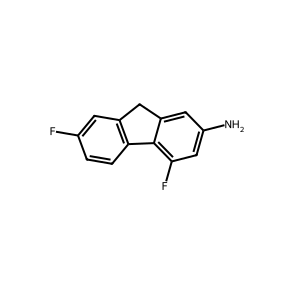 Nc1cc(F)c2c(c1)Cc1cc(F)ccc1-2